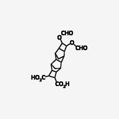 O=COC1C(OC=O)C2C3CC(C4C5CC(C34)C3C(C(=O)O)C(C(=O)O)C53)C12